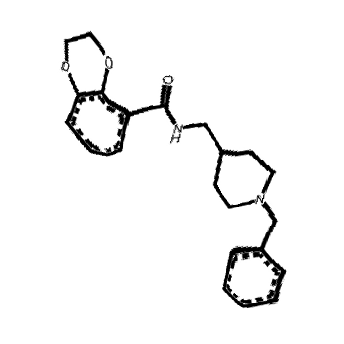 O=C(NCC1CCN(Cc2ccccc2)CC1)c1cccc2c1OCCO2